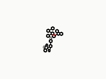 c1ccc(-c2ccccc2-c2ccccc2-c2ccccc2N(c2ccc(-c3ccc4c(c3)C3(c5ccccc5Oc5ccccc53)c3ccccc3-4)cc2)c2ccc(-c3cc4ccccc4c4ccccc34)cc2)cc1